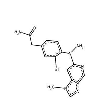 CCc1cc(CC(N)=O)ccc1N(C)c1cc2c(cn1)ncn2C